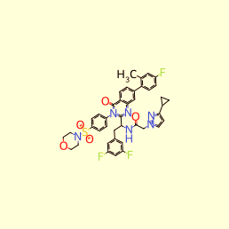 Cc1cc(F)ccc1-c1ccc2c(=O)n(-c3ccc(S(=O)(=O)N4CCOCC4)cc3)c(C(Cc3cc(F)cc(F)c3)NC(=O)Cn3ccc(C4CC4)n3)nc2c1